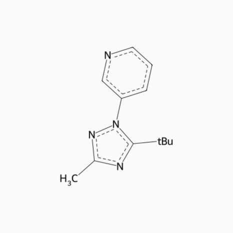 Cc1nc(C(C)(C)C)n(-c2cccnc2)n1